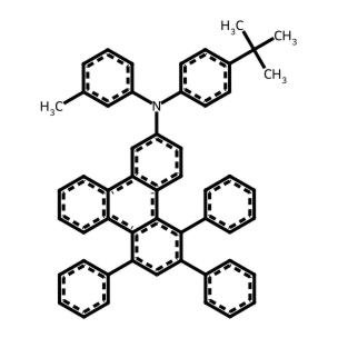 Cc1cccc(N(c2ccc(C(C)(C)C)cc2)c2ccc3c(c2)c2ccccc2c2c(-c4ccccc4)cc(-c4ccccc4)c(-c4ccccc4)c32)c1